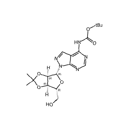 CC(C)(C)OC(=O)Nc1ncnc2c1cnn2[C@@H]1O[C@H](CO)[C@H]2OC(C)(C)O[C@H]21